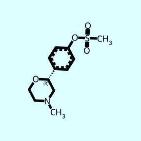 CN1CCO[C@H](c2ccc(OS(C)(=O)=O)cc2)C1